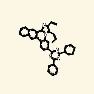 C=Cc1nc2c3cc4ccccc4cc3c3ccc(-c4nc(-c5ccccc5)nc(-c5ccccc5)n4)cc3n2c1/C=C\C